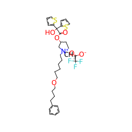 C[N+]1(CCCCCCOCCCCc2ccccc2)CCC(OC(=O)C(O)(c2cccs2)c2cccs2)C1.O=C([O-])C(F)(F)F